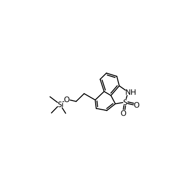 C[Si](C)(C)OCCc1ccc2c3c(cccc13)NS2(=O)=O